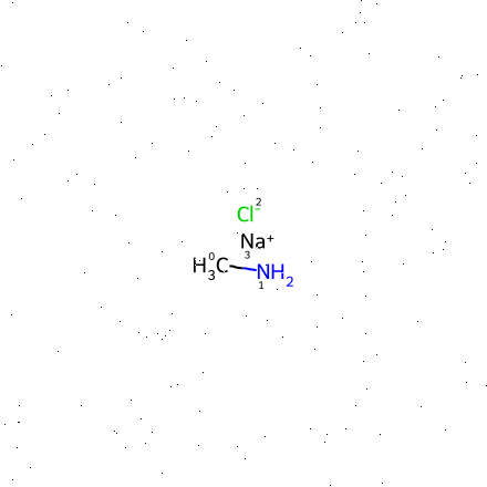 CN.[Cl-].[Na+]